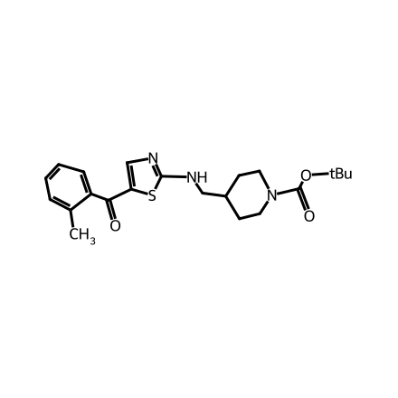 Cc1ccccc1C(=O)c1cnc(NCC2CCN(C(=O)OC(C)(C)C)CC2)s1